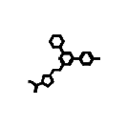 C=C(C(C)C)C1CC[C@H](CCc2cc(-c3ccc(C)cc3)cc(C3CCCCC3)n2)C1